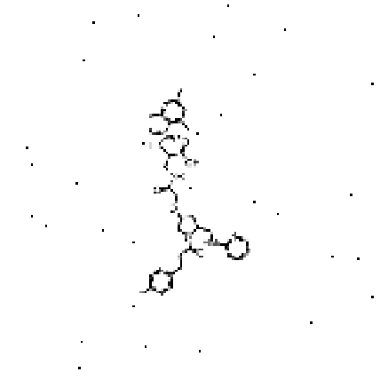 Cc1cc(C)c(S(=O)(=O)NC(CNC(=O)COC2CC(CNc3ccccn3)N(C(=O)CCc3ccc(F)cc3)C2)C(=O)O)c(C)c1